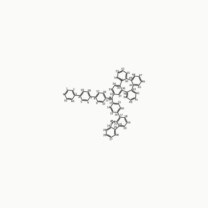 c1ccc(-c2ccc(-c3ccc(N(c4ccc(-c5cccc6c5sc5ccccc56)cc4)c4ccc5c(c4)-c4ccccc4-c4ccccc4-c4ccccc4-5)cc3)cc2)cc1